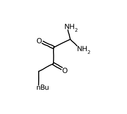 CCCCCC(=O)C(=O)C(N)N